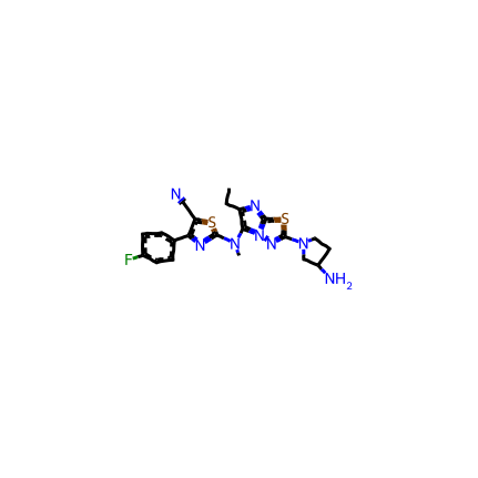 CCc1nc2sc(N3CCC(N)C3)nn2c1N(C)c1nc(-c2ccc(F)cc2)c(C#N)s1